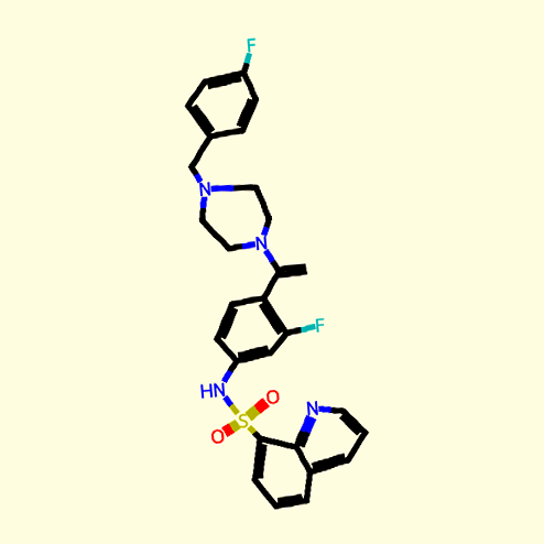 C=C(c1ccc(NS(=O)(=O)c2cccc3cccnc23)cc1F)N1CCN(Cc2ccc(F)cc2)CC1